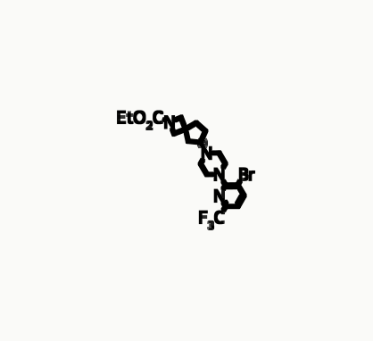 CCOC(=O)N1CC2(CC[C@@H](N3CCN(c4nc(C(F)(F)F)ccc4Br)CC3)C2)C1